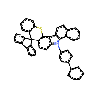 c1ccc(-c2ccc(-n3c4ccc5c(c4c4ccc6ccccc6c43)Sc3ccccc3C53c4ccccc4-c4ccccc43)cc2)cc1